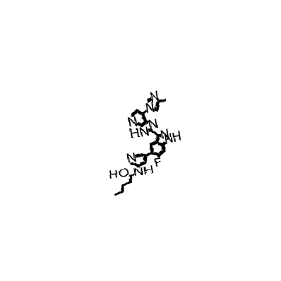 CCCCC(O)Nc1cncc(-c2cc3c(-c4nc5c(-n6cnc(C)c6)ccnc5[nH]4)n[nH]c3cc2F)c1